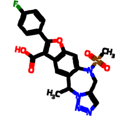 CC1c2cc3c(C(=O)O)c(-c4ccc(F)cc4)oc3cc2N(S(C)(=O)=O)Cc2cnnn21